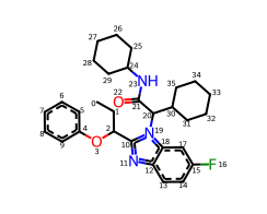 CCC(Oc1ccccc1)c1nc2ccc(F)cc2n1C(C(=O)NC1CCCCC1)C1CCCCC1